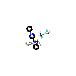 Cn1c(-c2cc[n+](-c3ccccc3)cc2)[n+](C)c2ccccc21.F[B-](F)(F)F.F[B-](F)(F)F